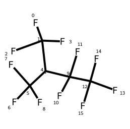 FC(F)(F)[C](C(F)(F)F)C(F)(F)C(F)(F)F